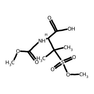 COC(=O)N[C@H](C(=O)O)C(C)(C)S(=O)(=O)OC